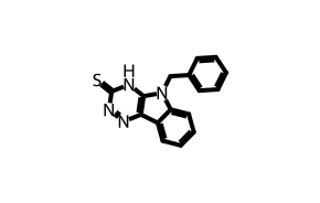 S=c1nnc2c3ccccc3n(Cc3ccccc3)c2[nH]1